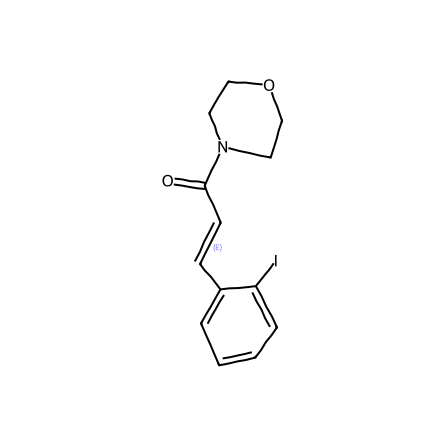 O=C(/C=C/c1ccccc1I)N1CCOCC1